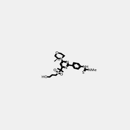 CNC(=S)Nc1ccc(-c2nc(N3CCOC[C@@H]3C)cc(C(C)(C)S(=O)(=O)CCCO)n2)cc1